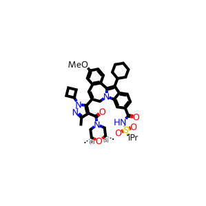 COc1ccc2c(c1)C=C(c1c(C(=O)N3C[C@@H](C)O[C@@H](C)C3)c(C)nn1C1CCC1)Cn1c-2c(C2CCCCC2)c2ccc(C(=O)NS(=O)(=O)C(C)C)cc21